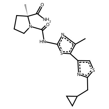 Cc1nc(NC(=O)N2CCC[C@@]2(C)C(N)=O)sc1-c1csc(CC2CC2)n1